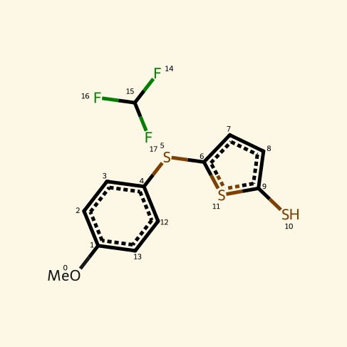 COc1ccc(Sc2ccc(S)s2)cc1.FC(F)F